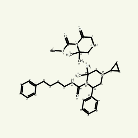 CC(C)(C)OC(=O)N1C(=O)CNCC1(C)C.CC1(C)CN(C2CC2)CC(c2ccccc2)N1C(=O)NCCCCc1ccccc1